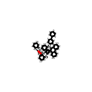 c1ccc(-c2ccc(N(c3ccc4c(c3)[Si]3(c5ccccc5Sc5ccccc53)c3ccccc3[SiH]4c3ccccc3)c3cc4ccccc4c4ccccc34)cc2)cc1